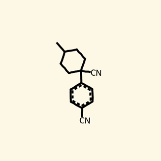 CC1CCC(C#N)(c2ccc(C#N)cc2)CC1